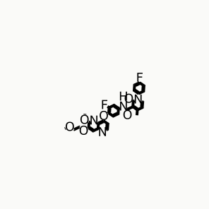 COCCOc1cc2nccc(Oc3ccc(NC(=O)c4c(C)ccn(-c5ccc(F)cc5)c4=O)cc3F)c2nc1OC